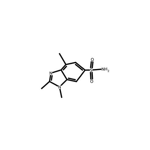 Cc1cc(S(N)(=O)=O)cc2c1nc(C)n2C